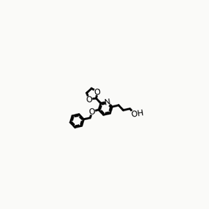 OCCCc1ccc(OCc2ccccc2)c(C2OCCO2)n1